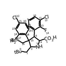 CC(C)(C)CC1NC(C(=O)O)C(c2cccc(Cl)c2F)C1(CN)c1ccc(Cl)cc1Br